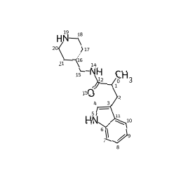 CC(Cc1c[nH]c2ccccc12)C(=O)NCC1CCNCC1